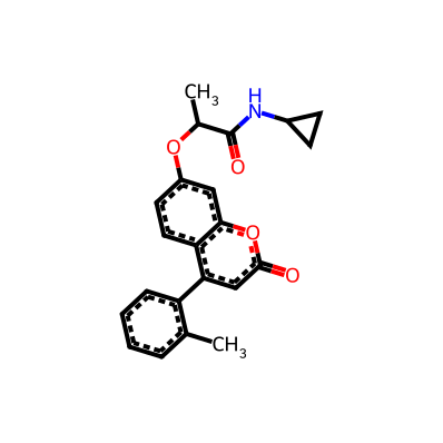 Cc1ccccc1-c1cc(=O)oc2cc(OC(C)C(=O)NC3CC3)ccc12